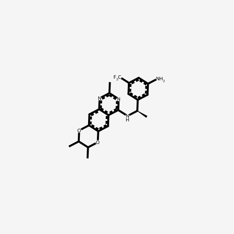 Cc1nc(N[C@H](C)c2cc(N)cc(C(F)(F)F)c2)c2cc3c(cc2n1)OC(C)C(C)O3